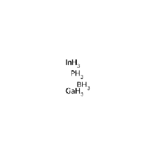 B.P.[GaH3].[InH3]